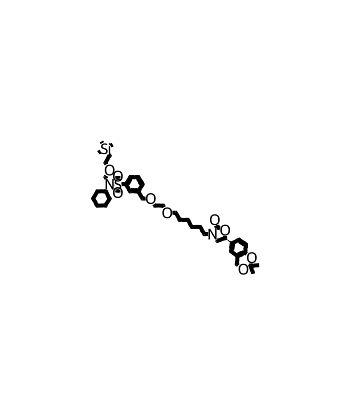 CC1(C)OCc2cc([C@@H]3CN(CCCCCCOCCOCc4cccc(S(=O)(=O)N(COCC[Si](C)(C)C)C5CCCCC5)c4)C(=O)O3)ccc2O1